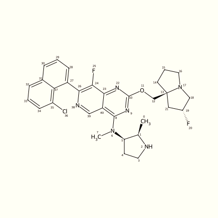 C[C@H]1NCC[C@H]1N(C)c1nc(OC[C@@]23CCCN2C[C@H](F)C3)nc2c(F)c(-c3cccc4cccc(Cl)c34)ncc12